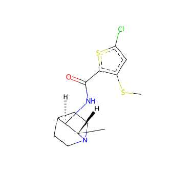 CSc1cc(Cl)sc1C(=O)N[C@@H]1C2CCN(CC2)[C@H]1C